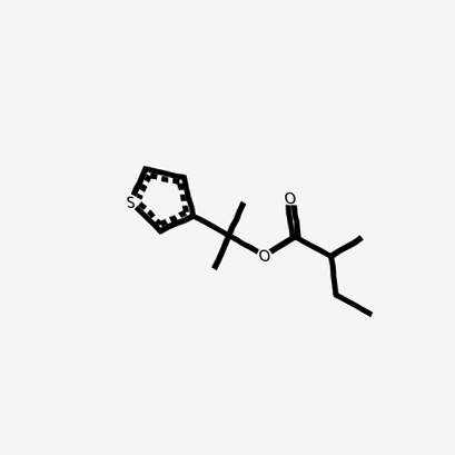 CCC(C)C(=O)OC(C)(C)c1ccsc1